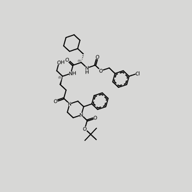 CC(C)(C)OC(=O)N1CCN(C(=O)CC[C@@H](CO)NC(=O)[C@H](CC2CCCCC2)NC(=O)OCc2cccc(Cl)c2)CC1c1ccccc1